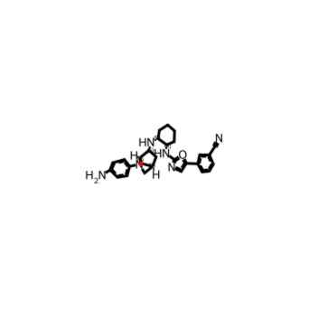 N#Cc1cccc(-c2cnc(N[C@@H]3CCCC[C@H]3N[C@H]3C[C@@H]4C[C@H]3N(c3ccc(N)cc3)C4)o2)c1